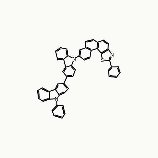 c1ccc(-c2nc3ccc4ccc5cc(-n6c7ccccc7c7cc(-c8ccc9c(c8)c8ccccc8n9-c8ccccc8)ccc76)ccc5c4c3s2)cc1